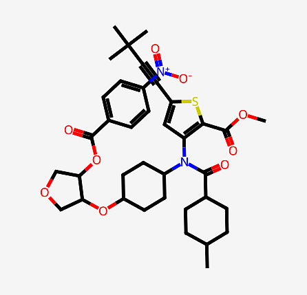 COC(=O)c1sc(C#CC(C)(C)C)cc1N(C(=O)C1CCC(C)CC1)C1CCC(OC2COCC2OC(=O)c2ccc([N+](=O)[O-])cc2)CC1